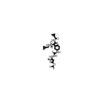 Cn1nc(OC(F)F)cc1NNC(=S)NC1CCc2sc(NC(=O)C3CC3)c(S(=O)(=O)NCC3CC3)c2C1